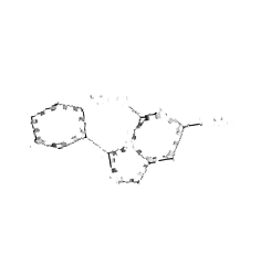 COc1nc(SC)cc2cnc(-c3ccccc3)n12